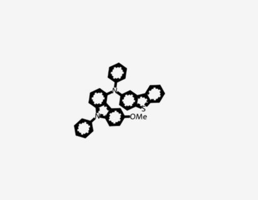 COc1ccc2c(c1)c1c(N(c3ccccc3)c3ccc4sc5ccccc5c4c3)cccc1n2-c1ccccc1